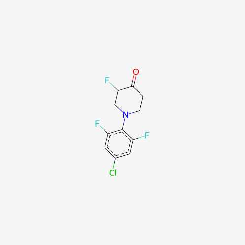 O=C1CCN(c2c(F)cc(Cl)cc2F)CC1F